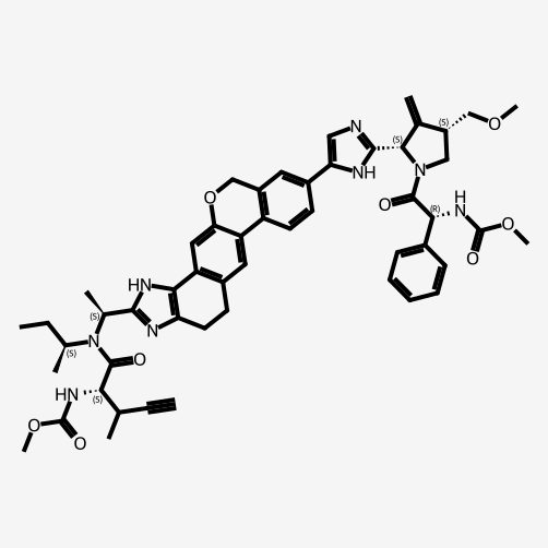 C#CC(C)[C@H](NC(=O)OC)C(=O)N([C@@H](C)CC)[C@@H](C)c1nc2c([nH]1)-c1cc3c(cc1CC2)-c1ccc(-c2cnc([C@@H]4C(=C)[C@H](COC)CN4C(=O)[C@H](NC(=O)OC)c4ccccc4)[nH]2)cc1CO3